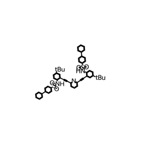 CC(C)(C)c1ccc(NS(=O)(=O)c2ccc(-c3ccccc3)cc2)c(C#Cc2cccc(C#Cc3cc(C(C)(C)C)ccc3NS(=O)(=O)c3ccc(-c4ccccc4)cc3)n2)c1